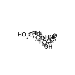 N[C@H](Cc1cc(I)c(Oc2ccc(O)c(Cc3ccc(=O)[nH]c3)c2)c(I)c1)C(=O)O